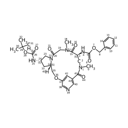 CN1C[C@H](NC(=O)OCc2ccccc2)C(=O)N(C)CC(=O)N2C[C@@H](NC(=O)OC(C)(C)C)C[C@H]2COc2cncc(c2)C1=O